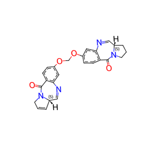 O=C1c2ccc(OCOc3ccc4c(c3)N=C[C@@H]3CCCN3C4=O)cc2N=C[C@@H]2C=CCN12